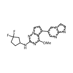 COc1nc(NC2CCC(F)(F)C2)nn2ccc(-c3cnc4nccn4c3)c12